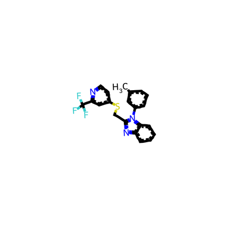 Cc1cccc(-n2c(CSc3ccnc(C(F)(F)F)c3)nc3ccccc32)c1